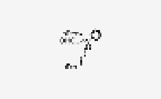 CCCCCCCCCCCCCCON(c1ccccc1)[C@@H](CC=O)CCCCCCCCCCC